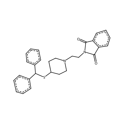 O=C1c2ccccc2C(=O)N1CCN1CCC(SC(c2ccccc2)c2ccccc2)CC1